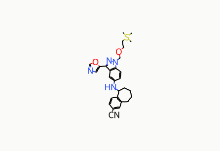 CS(C)(C)CCOCn1nc(-c2cnco2)c2cc(NC3CCCCc4cc(C#N)ccc43)ccc21